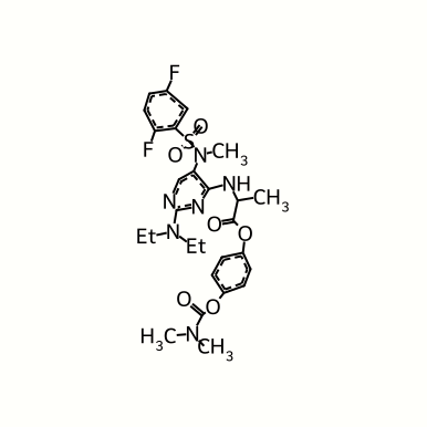 CCN(CC)c1ncc(N(C)S(=O)(=O)c2cc(F)ccc2F)c(NC(C)C(=O)Oc2ccc(OC(=O)N(C)C)cc2)n1